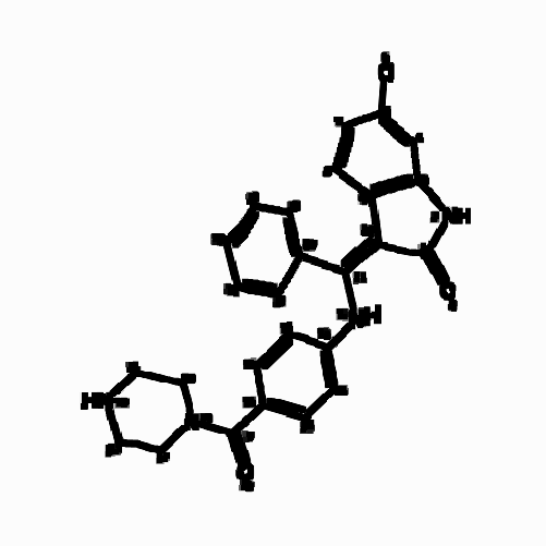 O=C1Nc2cc(Cl)ccc2/C1=C(/Nc1ccc(C(=O)N2CCNCC2)cc1)c1ccccc1